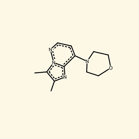 Cc1nc2c(N3CCOCC3)ccnn2c1C